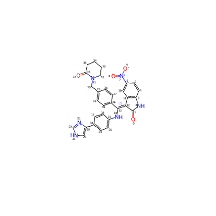 O=C1Nc2ccc([N+](=O)[O-])cc2/C1=C(/Nc1ccc(-c2c[nH]cn2)cc1)c1ccc(CN2CCCCC2=O)cc1